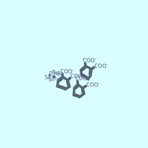 CCC[CH2][Sn+3].CCC[CH2][Sn+3].O=C([O-])c1ccccc1C(=O)[O-].O=C([O-])c1ccccc1C(=O)[O-].O=C([O-])c1ccccc1C(=O)[O-]